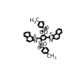 Cc1ccc(S(=O)(=O)Oc2cc(-c3nc4ccc5ccccc5c4s3)c(OS(=O)(=O)c3ccc(C)cc3)cc2-c2nc3ccc4ccccc4c3s2)cc1